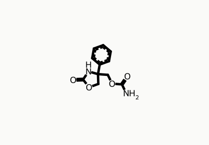 NC(=O)OCC1(c2ccccc2)COC(=O)N1